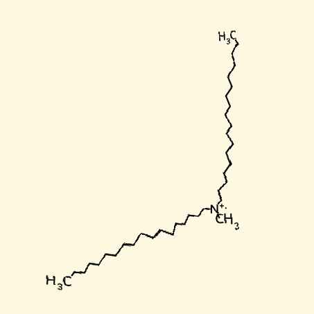 CCCCCCCCCCCCCCCCCC[N+](C)CCCCCCCCCCCCCCCCCC